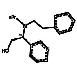 CCCN(CCc1ccccc1)[C@H](CO)c1cccnc1